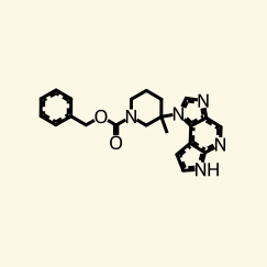 CC1(n2cnc3cnc4[nH]ccc4c32)CCCN(C(=O)OCc2ccccc2)C1